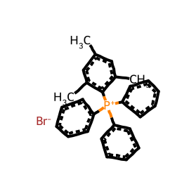 Cc1cc(C)c([P+](c2ccccc2)(c2ccccc2)c2ccccc2)c(C)c1.[Br-]